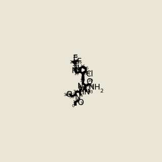 C=CC(=O)N1CC(n2nc(C#Cc3c(Cl)ccc4c3cnn4C3CC3(F)F)c(C(N)=O)c2NC)CC1COC